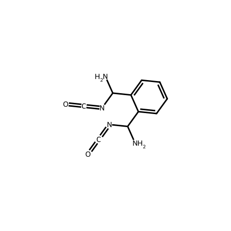 NC(N=C=O)c1ccccc1C(N)N=C=O